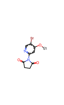 CCOc1cc(N2C(=O)CCC2=O)ncc1Br